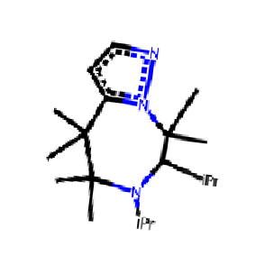 CC(C)C1N(C(C)C)C(C)(C)C(C)(C)c2ccnn2C1(C)C